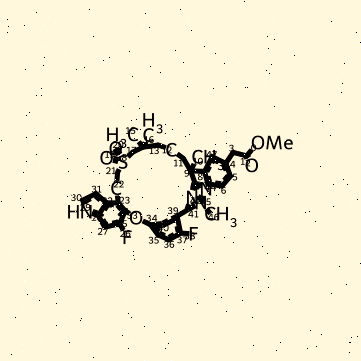 COC(=O)Cc1cccc(C2(C)CCCC(C)(C)CS(=O)(=O)CCc3c(c(F)cc4[nH]ccc34)Oc3ccc(F)c(c3)-c3nc2nn3C)c1